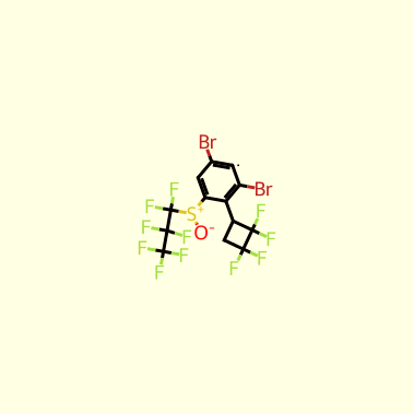 [O-][S+](c1cc(Br)[c]c(Br)c1C1CC(F)(F)C1(F)F)C(F)(F)C(F)(F)C(F)(F)F